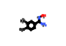 NC(=NO)c1ccc([N+](=O)[O-])c(C(F)(F)F)c1